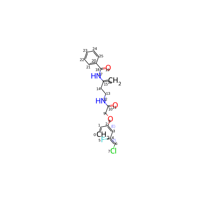 C=C/C(=C\C(F)=C\Cl)OCC(=O)NCCC(=C)NC(=O)c1ccccc1